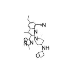 CCc1cc(C#N)c2nc(N3CC[C@@H](NC4CCOC4)C[C@H]3C)c(-c3nc(C)no3)c(C)c2c1